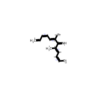 C=C/C=C\C=C(\C(=N)/C(C)=C/C=C\CC)C(C)C